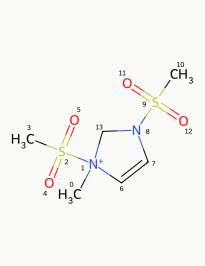 C[N+]1(S(C)(=O)=O)C=CN(S(C)(=O)=O)C1